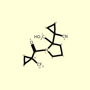 N#CC1(C2(C(=O)O)CCCN2C(=O)C2(C(F)(F)F)CC2)CC1